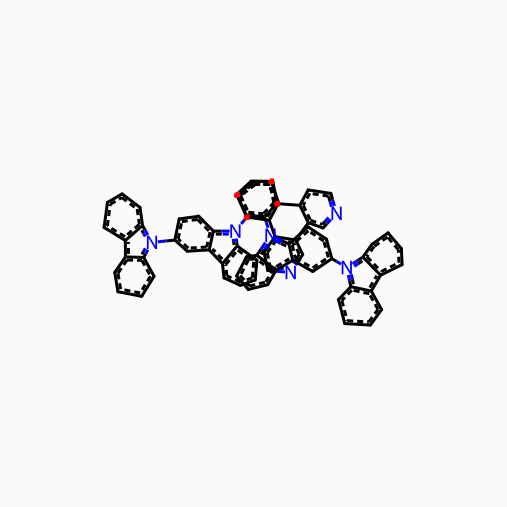 c1ccc(-n2c3ccccc3c3cc(-n4c5ccccc5c5ccccc54)ccc32)c(-c2ccncc2-c2cnccc2-c2ccccc2-n2c3ccccc3c3cc(-n4c5ccccc5c5ccccc54)ccc32)c1